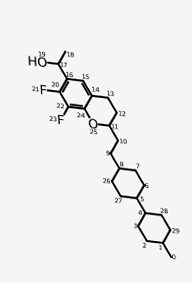 CC1CCC(C2CCC(CCC3CCc4cc(C(C)O)c(F)c(F)c4O3)CC2)CC1